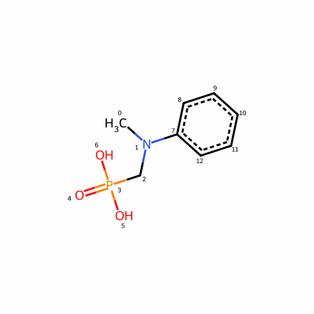 CN(CP(=O)(O)O)c1ccccc1